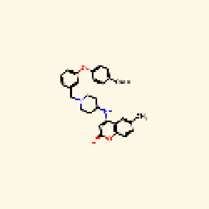 COc1ccc(Oc2cccc(CN3CCC(Nc4cc(=O)oc5ccc(C)cc45)CC3)c2)cc1